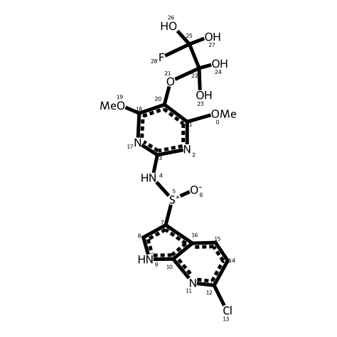 COc1nc(N[S+]([O-])c2c[nH]c3nc(Cl)ccc23)nc(OC)c1OC(O)(O)C(O)(O)F